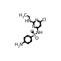 CCNc1nc(Cl)cc(NS(=O)(=O)c2ccc(N)cc2)n1